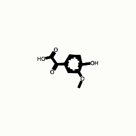 COc1cc(C(=O)C(=O)O)ccc1O